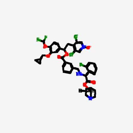 O=C(OC(Cc1c(Cl)c[n+]([O-])cc1Cl)c1ccc(OC(F)F)c(OCC2CC2)c1)c1cccc(CNC(C(=O)O[C@H]2CN3CCC2CC3)c2ccccc2F)c1